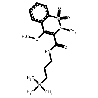 COC1=C(C(=O)NCCC[N+](C)(C)C)N(C)S(=O)(=O)c2ccccc21